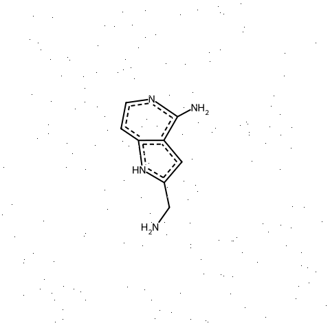 NCc1cc2c(N)nccc2[nH]1